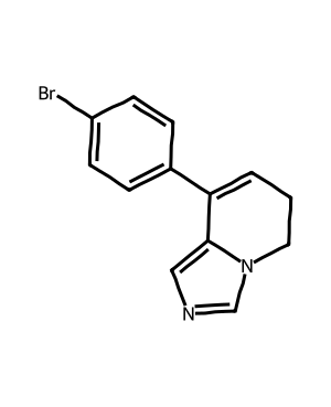 Brc1ccc(C2=CCCn3cncc32)cc1